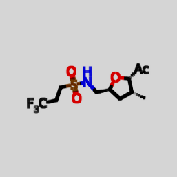 CC(=O)[C@H]1O[C@H](CNS(=O)(=O)CCC(F)(F)F)C[C@H]1C